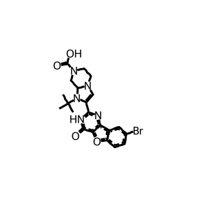 CC(C)(C)N1C(c2nc3c(oc4ccc(Br)cc43)c(=O)[nH]2)=CN2CCN(C(=O)O)CC21